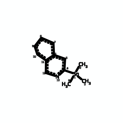 [CH3][Sn]([CH3])([CH3])[c]1cc2ccccc2cn1